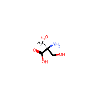 C[C@](N)(CO)C(=O)O.O